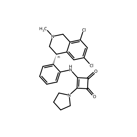 CN1Cc2c(Cl)cc(Cl)cc2[C@H](c2ccccc2Nc2c(N3CCCC3)c(=O)c2=O)C1